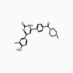 Cc1cc(-c2cc(-c3ccc(C(=O)N4CCN(C)CC4)cc3)[nH]c(=O)n2)ccc1O